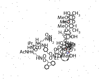 CCN(C(=O)OCc1ccc(NC(=O)[C@H](CCCNC(N)=O)NC(=O)[C@@H](NC(=O)[C@H](CCCCNC(=O)OCC2c3ccccc3-c3ccccc32)NC(C)=O)C(C)C)cc1)[C@H]1CO[C@@H](O[C@H]2[C@H](O[C@H]3C#CC=CC#C[C@]4(O)CC(=O)C(NC(=O)OC)=C3/C4=C\CSSC(C)C)O[C@H](C)[C@@H](NO[C@H]3C[C@H](O)[C@H](SC(=O)c4c(C)c(I)c(O[C@@H]5O[C@@H](C)[C@H](O)[C@@H](OC)[C@H]5O)c(OC)c4OC)[C@@H](C)O3)[C@@H]2O)C[C@@H]1OC